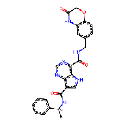 C[C@H](NC(=O)c1c[nH]c2c(C(=O)NCc3ccc4c(c3)NC(=O)CO4)ncnc12)c1ccccc1